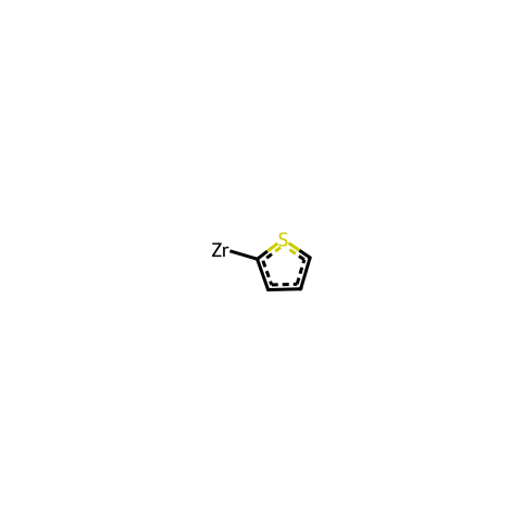 [Zr][c]1cccs1